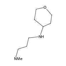 [CH2-][NH2+]CCCNC1CCOCC1